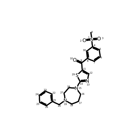 CS(=O)(=O)c1cccc(C(=O)c2cnc(N3CCCN(Cc4ccccc4)CC3)s2)c1